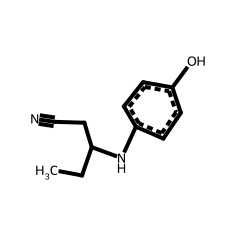 CCC(CC#N)Nc1ccc(O)cc1